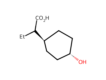 CCC(C(=O)O)[C@H]1CC[C@H](O)CC1